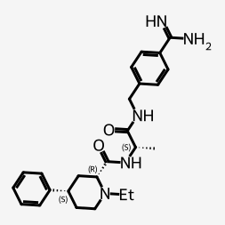 CCN1CC[C@H](c2ccccc2)C[C@@H]1C(=O)N[C@@H](C)C(=O)NCc1ccc(C(=N)N)cc1